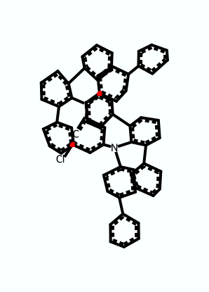 Clc1cc(N(c2ccc(-c3ccccc3)cc2)c2c(-c3ccccc3)cccc2-c2ccccc2)cc(N(c2ccc(-c3ccccc3)cc2)c2c(-c3ccccc3)cccc2-c2ccccc2)c1